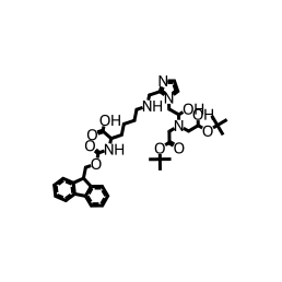 CC(C)(C)OC(=O)CN(CC(O)OC(C)(C)C)C(O)Cn1ccnc1CNCCCCC(NC(=O)OCC1c2ccccc2-c2ccccc21)C(=O)O